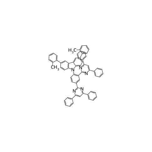 Cc1ccccc1-c1ccc2c(c1)c1cc(-c3ccccc3C)ccc1n2-c1ccc(-c2nc(-c3ccccc3)cc(-c3ccccc3)n2)cc1-c1nc(-c2ccccc2)cc(-c2ccccc2)n1